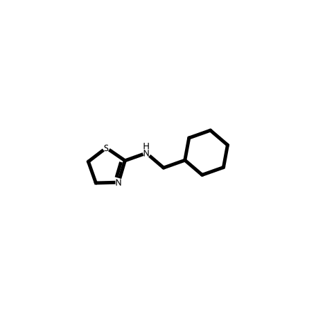 C1CCC(CNC2=NCCS2)CC1